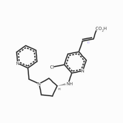 O=C(O)/C=C/c1cnc(N[C@@H]2CCN(Cc3ccccn3)C2)c(Cl)c1